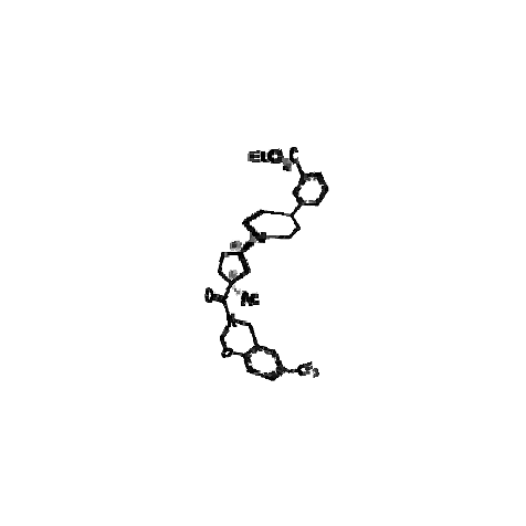 CCOC(=O)c1cccc(C2CCN([C@@H]3CC[C@](C(C)=O)(C(=O)N4COc5ccc(C(F)(F)F)cc5C4)C3)CC2)c1